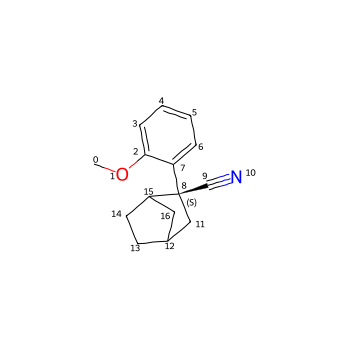 COc1ccccc1[C@]1(C#N)CC2CCC1C2